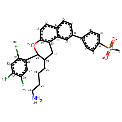 CS(=O)(=O)c1ccc(-c2ccc3ccc4c(c3c2)C[C@@H](CCCCN)C(c2cc(F)c(F)cc2F)O4)cc1